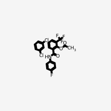 CC(=O)Oc1c(C(=O)Nc2ccc(F)cc2)cccc1C(F)(F)F.Clc1cccc(Cl)c1